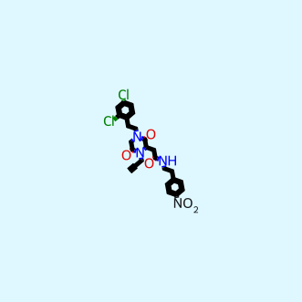 C#CCN1C(=O)CN(CCc2ccc(Cl)cc2Cl)C(=O)C1CC(=O)NCCc1ccc([N+](=O)[O-])cc1